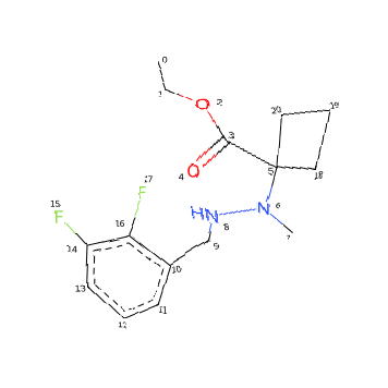 CCOC(=O)C1(N(C)NCc2cccc(F)c2F)CCC1